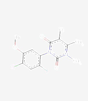 CCc1c(C)n(C)c(=O)n(-c2cc(OC(C)C)c(Cl)cc2F)c1=O